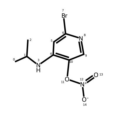 CC(C)Nc1cc(Br)ncc1O[N+](=O)[O-]